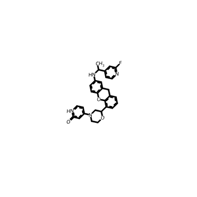 CC(Nc1ccc2c(c1)Cc1cccc(C3CN(c4cc[nH]c(=O)c4)CCO3)c1O2)c1ccnc(F)c1